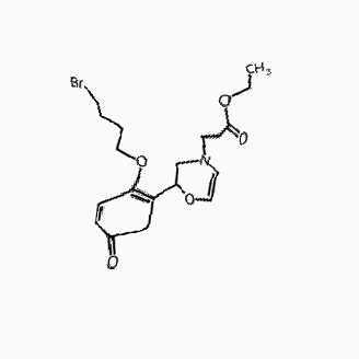 CCOC(=O)CN1C=COC(C2=C(OCCCCBr)C=CC(=O)C2)C1